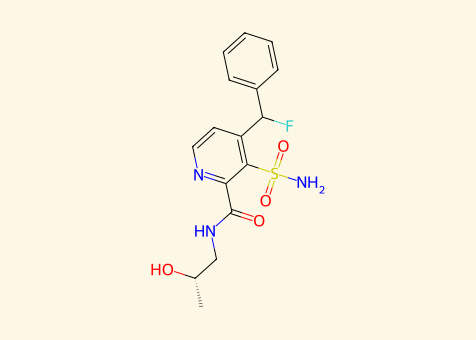 C[C@H](O)CNC(=O)c1nccc(C(F)c2ccccc2)c1S(N)(=O)=O